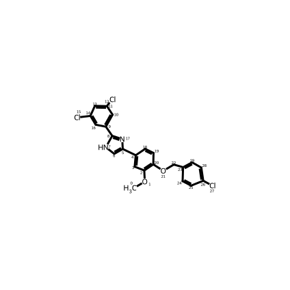 COc1cc(-c2c[nH]c(-c3cc(Cl)cc(Cl)c3)n2)ccc1OCc1ccc(Cl)cc1